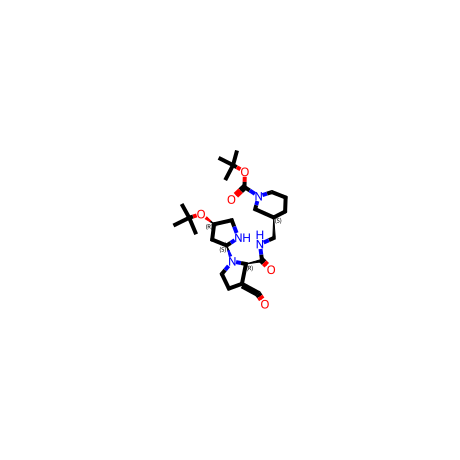 CC(C)(C)OC(=O)N1CCC[C@@H](CNC(=O)[C@H]2C(=C=O)CCN2[C@H]2C[C@@H](OC(C)(C)C)CN2)C1